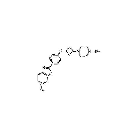 CC(=O)N1CCc2nc(-c3ccc(O[C@H]4C[C@H](N5CCN(C(C)C)CC5)C4)cc3)sc2C1